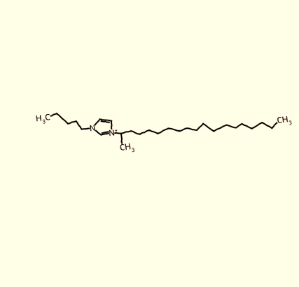 CCCCCCCCCCCCCCCCCC(C)[n+]1ccn(CCCCC)c1